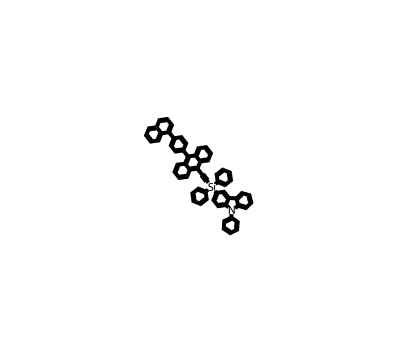 C(#C[Si](c1ccccc1)(c1ccccc1)c1ccc2c(c1)c1ccccc1n2-c1ccccc1)c1c2ccccc2c(-c2ccc(-c3cccc4ccccc34)cc2)c2ccccc12